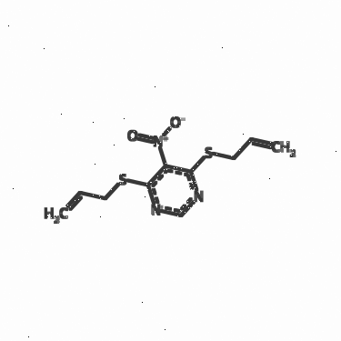 C=CCSc1ncnc(SCC=C)c1[N+](=O)[O-]